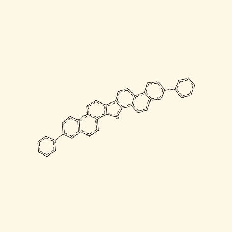 c1ccc(-c2ccc3c(ccc4c3ccc3c5ccc6c7ccc(-c8ccccc8)cc7ccc6c5sc43)c2)cc1